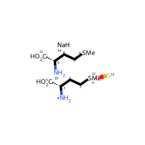 CSCC[C@H](N)C(=O)O.CSCC[C@H](N)C(=O)O.O=S.[NaH]